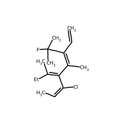 C=C/C(=C(C)/C(=C(\C)CC)C(/Cl)=C\C)C(C)(C)F